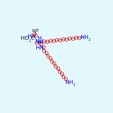 NCCOCCOCCOCCOCCOCCOCCOCCOCCOCCOCCOCCOCCC(=O)NCCCC[C@H](NC(=O)CCOCCOCCOCCOCCOCCOCCOCCOCCOCCOCCOCCOCCN)C(=O)NCCCC[C@H](NC(=O)OCC1c2ccccc2-c2ccccc21)C(=O)O